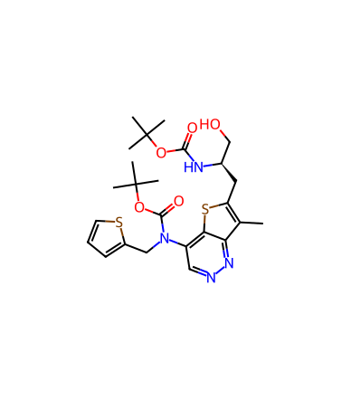 Cc1c(C[C@H](CO)NC(=O)OC(C)(C)C)sc2c(N(Cc3cccs3)C(=O)OC(C)(C)C)cnnc12